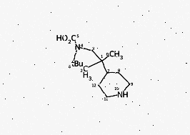 CC(C)(CN(C(=O)O)C(C)(C)C)C1CCNCC1